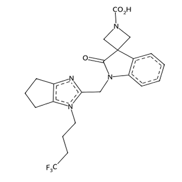 O=C(O)N1CC2(C1)C(=O)N(Cc1nc3c(n1CCCC(F)(F)F)CCC3)c1ccccc12